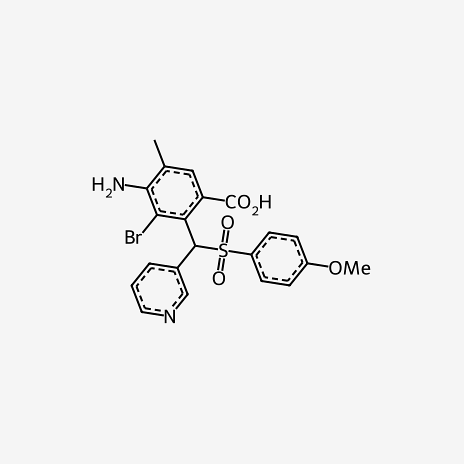 COc1ccc(S(=O)(=O)C(c2cccnc2)c2c(C(=O)O)cc(C)c(N)c2Br)cc1